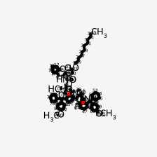 C#C[C@]1(COP(=O)(N[C@@H](Cc2ccccc2)C(=O)O)OCC(=O)OCCCCCCCCCCCC)O[C@@H](n2cnc3c(NC(c4ccccc4)(c4ccccc4)c4ccc(OC)cc4)nc(F)nc32)C[C@@H]1OC(c1ccccc1)(c1ccccc1)c1ccc(OC)cc1